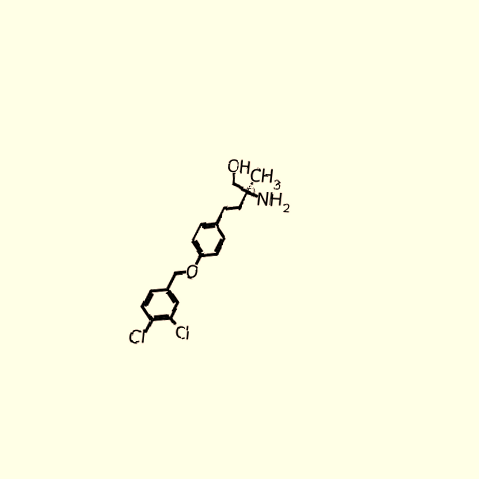 C[C@@](N)(CO)CCc1ccc(OCc2ccc(Cl)c(Cl)c2)cc1